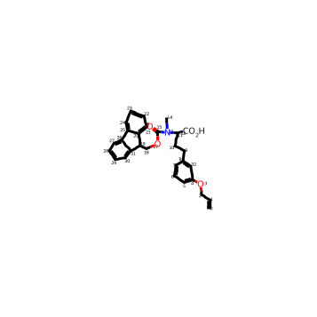 C=CCOc1cccc(CCC(C(=O)O)N(C)C(=O)OCC2c3ccccc3-c3ccccc32)c1